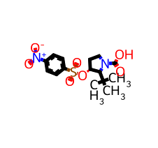 CC(C)(C)C1[C@@H](OS(=O)(=O)c2ccc([N+](=O)[O-])cc2)CCN1C(=O)O